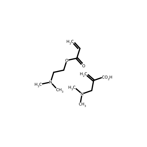 C=C(CN(C)C)C(=O)O.C=CC(=O)OCCN(C)C